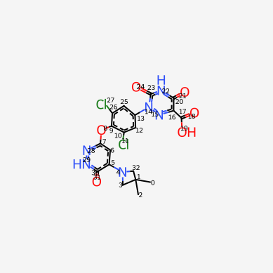 CC1(C)CN(c2cc(Oc3c(Cl)cc(-n4nc(C(=O)O)c(=O)[nH]c4=O)cc3Cl)n[nH]c2=O)C1